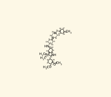 COc1ccc(-c2[nH]c3ccc(NC4CCC(N5CCN(Cc6ccc(C)cc6)CC5)CC4)cc3c2C(C)C)cc1OC